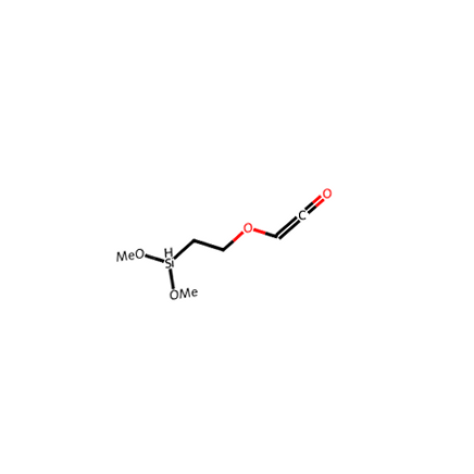 CO[SiH](CCOC=C=O)OC